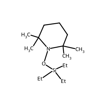 CC[Si](CC)(CC)ON1C(C)(C)CCCC1(C)C